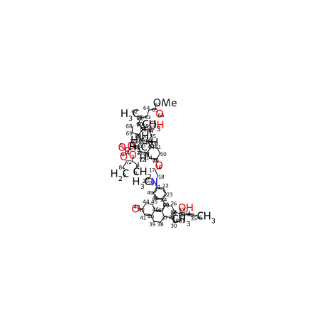 C=CCOP(=O)(OCC=C)O[C@@H]1C[C@@H]2C[C@@H](OCCN(C)c3ccc([C@H]4C[C@@]5(C)C(CC[C@@]5(O)C#CC)C5CCC6=CC(=O)CCC6=C54)cc3)CC[C@]2(C)[C@H]2C[C@H](O)[C@]3(C)[C@@H]([C@H](C)CCC(=O)OC)CC[C@H]3[C@H]12